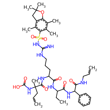 C=CCNC(=O)C(NC(=O)C(CC)NC(=O)C(CCCNC(=N)NS(=O)(=O)c1c(C)c(C)c2c(c1C)CC(C)(C)O2)NC(=O)C(C)(CC=C)NC(=O)O)c1ccccc1